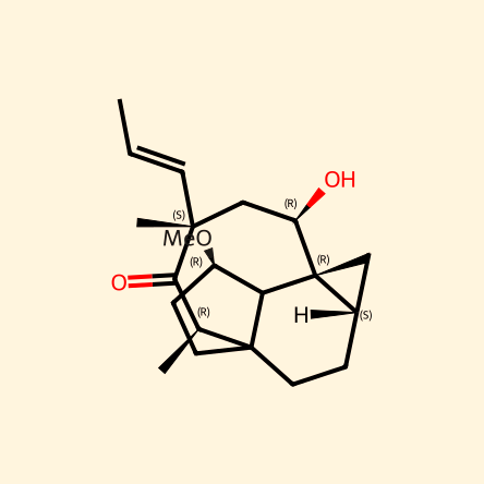 CC=C[C@]1(C)C[C@@H](O)[C@]23C[C@@H]2CCC2(CC[C@@H](OC)C23)[C@@H](C)C1=O